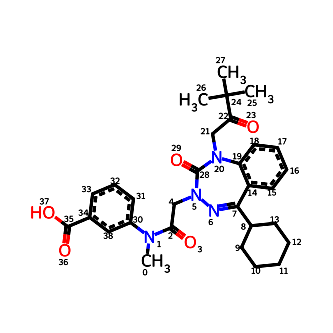 CN(C(=O)CN1N=C(C2CCCCC2)c2ccccc2N(CC(=O)C(C)(C)C)C1=O)c1cccc(C(=O)O)c1